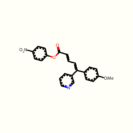 COc1ccc(C(=CC=CC(=O)Oc2ccc([N+](=O)[O-])cc2)c2cccnc2)cc1